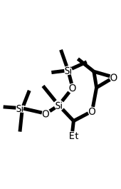 CCC(OC1OC1C)[Si](C)(O[Si](C)(C)C)O[Si](C)(C)C